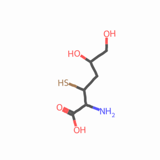 NC(C(=O)O)C(S)CC(O)CO